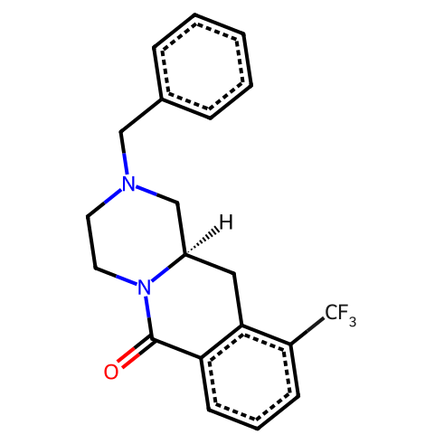 O=C1c2cccc(C(F)(F)F)c2C[C@@H]2CN(Cc3ccccc3)CCN12